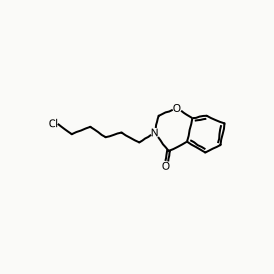 O=C1c2ccccc2OCN1CCCCCCl